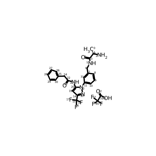 C[C@H](N)C(=O)NCc1cccc(-n2nc(C(F)(F)F)cc2NC(=O)Cc2ccccc2)c1.O=C(O)C(F)(F)F